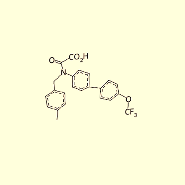 Cc1ccc(CN(C(=O)C(=O)O)c2ccc(-c3ccc(OC(F)(F)F)cc3)cc2)cc1